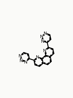 c1cc(-c2ccc3ccc4ccc(-c5ccnnn5)nc4c3n2)nnn1